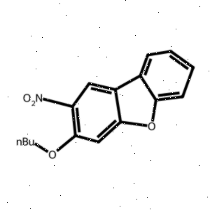 CCCCOc1cc2oc3ccccc3c2cc1[N+](=O)[O-]